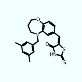 Cc1cc(C)cc(CN2CCCOc3ccc(C=C4SC(=S)NC4=O)cc32)c1